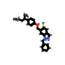 CC(CC(=O)O)c1ccc(OCc2cc3c(cnn3Cc3ccccc3)cc2F)cc1